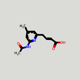 CC(=O)Nc1cc(C)cc(C/C=C/C(=O)O)n1